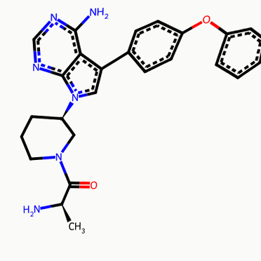 C[C@@H](N)C(=O)N1CCC[C@@H](n2cc(-c3ccc(Oc4ccccc4)cc3)c3c(N)ncnc32)C1